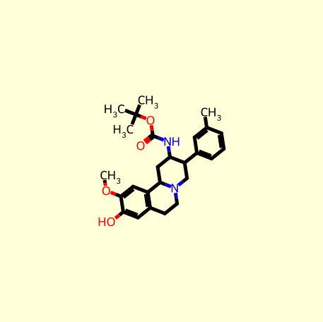 COc1cc2c(cc1O)CCN1CC(c3cccc(C)c3)C(NC(=O)OC(C)(C)C)CC21